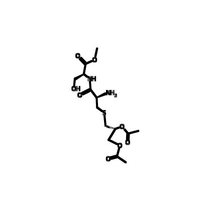 COC(=O)[C@H](CO)NC(=O)[C@@H](N)CSC[C@@H](COC(C)=O)OC(C)=O